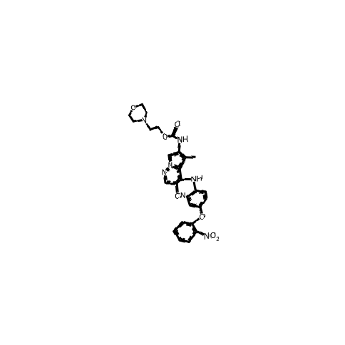 Cc1c(NC(=O)OCCN2CCOCC2)cn2ncc(C#N)c(Nc3ccc(Oc4ccccc4[N+](=O)[O-])cc3)c12